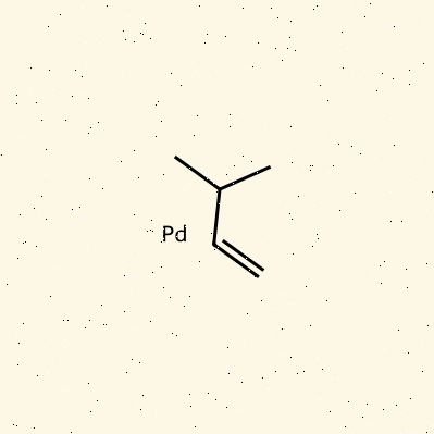 C=CC(C)C.[Pd]